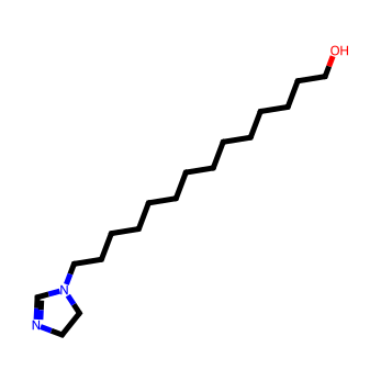 OCCCCCCCCCCCCCCN1C=NCC1